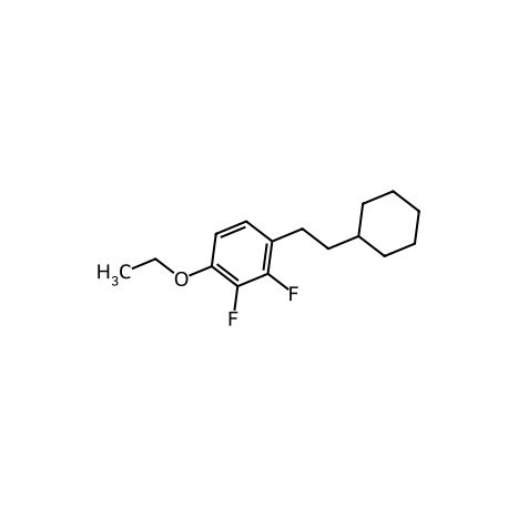 CCOc1ccc(CCC2CCCCC2)c(F)c1F